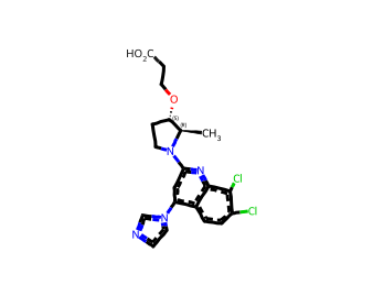 C[C@@H]1[C@@H](OCCC(=O)O)CCN1c1cc(-n2ccnc2)c2ccc(Cl)c(Cl)c2n1